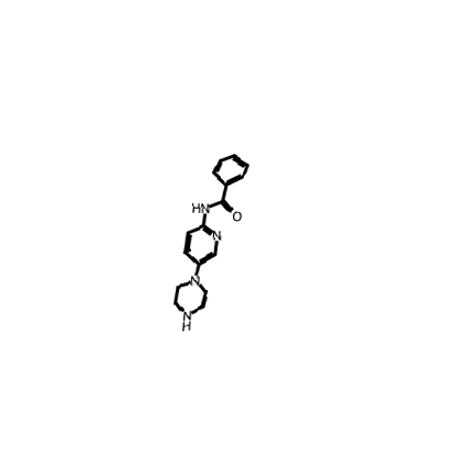 O=C(Nc1ccc(N2CCNCC2)cn1)c1ccccc1